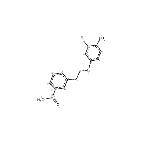 Bc1ccc(OCCc2cccc([N+](C)=O)c2)cc1F